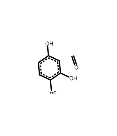 C=O.CC(=O)c1ccc(O)cc1O